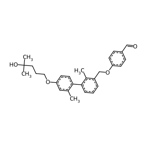 Cc1cc(OCCCC(C)(C)O)ccc1-c1cccc(COc2ccc(C=O)cc2)c1C